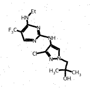 CCNc1nc(Nc2cn(CC(C)(C)O)nc2Cl)ncc1C(F)(F)F